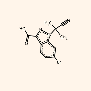 CC(C)(C#N)n1nc(C(=O)O)c2ccc(Br)cc21